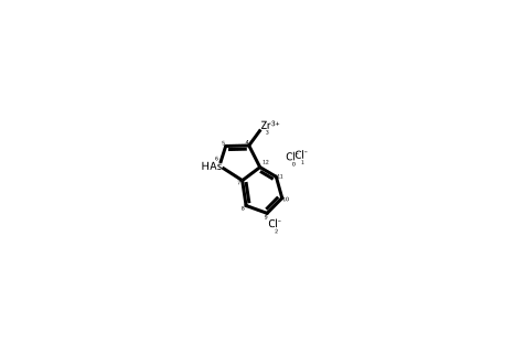 [Cl-].[Cl-].[Cl-].[Zr+3][C]1=C[AsH]c2ccccc21